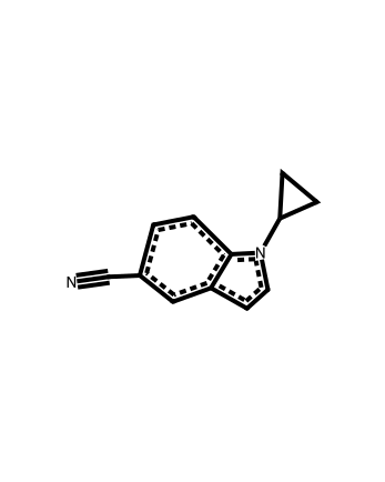 N#Cc1ccc2c(ccn2C2CC2)c1